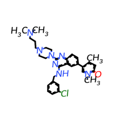 Cc1cc(=O)n(C)cc1-c1ccc2nc(N3CCN(CCCN(C)C)CC3)nc(NCc3cccc(Cl)c3)c2c1